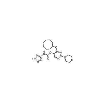 O=C(Nc1nn[nH]n1)Oc1cnc(N2CCOCC2)nc1OC1CCCCCCC1